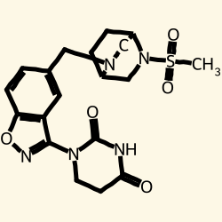 CS(=O)(=O)N1CC2CCC1CN2Cc1ccc2onc(N3CCC(=O)NC3=O)c2c1